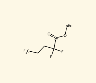 CCCC[O][Sn](=[O])[C](F)(F)CCC(F)(F)F